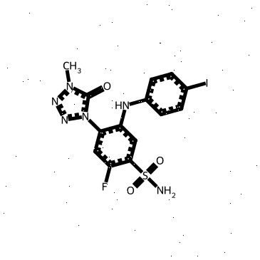 Cn1nnn(-c2cc(F)c(S(N)(=O)=O)cc2Nc2ccc(I)cc2)c1=O